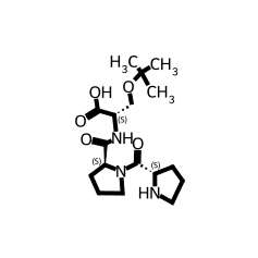 CC(C)(C)OC[C@H](NC(=O)[C@@H]1CCCN1C(=O)[C@@H]1CCCN1)C(=O)O